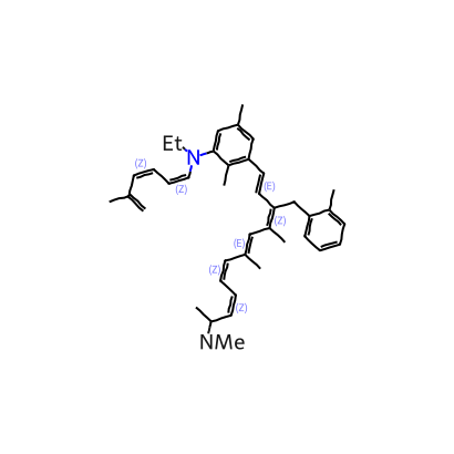 C=C(C)/C=C\C=C/N(CC)c1cc(C)cc(/C=C/C(Cc2ccccc2C)=C(C)\C=C(C)\C=C/C=C\C(C)NC)c1C